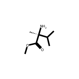 COC(=O)[C@@](C)(N)C(C)C